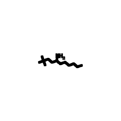 CCCCCCC(N)CCC(C)(C)C